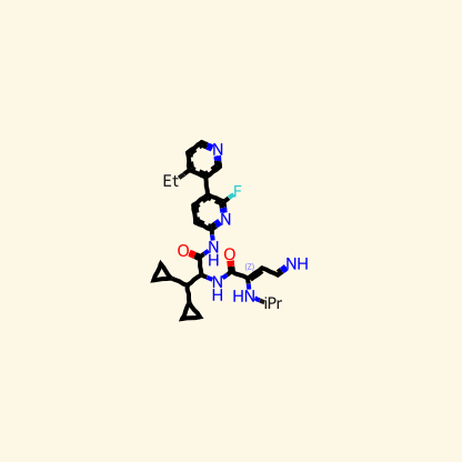 CCc1ccncc1-c1ccc(NC(=O)C(NC(=O)/C(=C/C=N)NC(C)C)C(C2CC2)C2CC2)nc1F